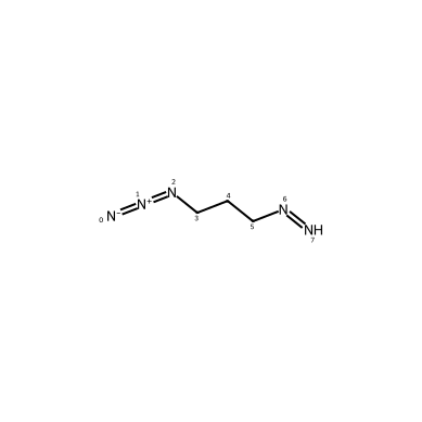 [N-]=[N+]=NCCCN=N